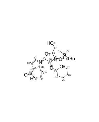 CC(C)(C)[Si](C)(C)O[C@@H]1C(CO)OC(n2cnc3c(=O)[nH]cnc32)[C@@H]1OC1CCCCO1